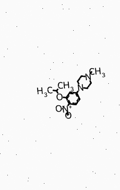 CC(C)Oc1cc(N2CCN(C)CC2)ccc1[N+](=O)[O-]